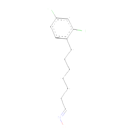 ON=CCCCCCCc1ccc(Cl)cc1Cl